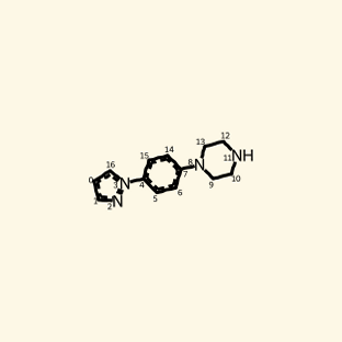 c1cnn(-c2ccc(N3CCNCC3)cc2)c1